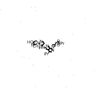 CC(C)c1cnc(N2CC(CS(=O)(=O)C(C)C)C2)c2cnc(Nc3ccnc(N4CC[C@@H](O)[C@@](C)(F)C4)n3)cc12